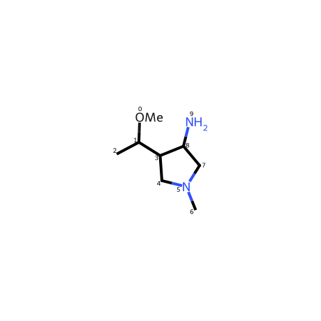 COC(C)C1CN(C)CC1N